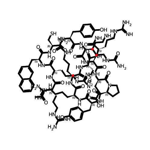 CC(=O)N[C@@H](CCCNC(=N)N)C(=O)N[C@@H](CCCNC(=N)N)C(=O)N[C@@H](Cc1ccc2ccccc2c1)C(=O)N[C@@H](CS)C(=O)N[C@@H](Cc1ccc(O)cc1)C(=O)N[C@@H](CCCNC(N)=O)C(=O)N[C@@H](CCCCN)C(=O)N[C@H](CCC(=O)O)C(=O)N1CCC[C@H]1C(=O)N[C@@H](Cc1ccc(O)cc1)C(=O)N[C@@H](CCCNC(=N)N)C(=O)N[C@@H](CCCNC(N)=O)C(=O)N[C@@H](CS)C(=O)N[C@@H](CCCNC(=N)N)C(N)=O